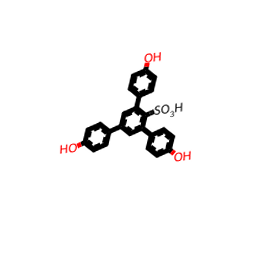 O=S(=O)(O)c1c(-c2ccc(O)cc2)cc(-c2ccc(O)cc2)cc1-c1ccc(O)cc1